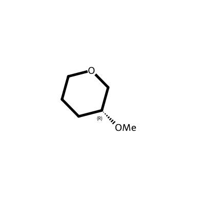 [CH2]O[C@@H]1CCCOC1